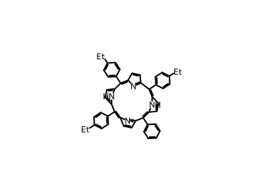 CCc1ccc(-c2c3nc(c(-c4ccc(CC)cc4)c4ccc([nH]4)c(-c4ccc(CC)cc4)c4nc(c(-c5ccccc5)c5ccc2[nH]5)C=C4)C=C3)cc1